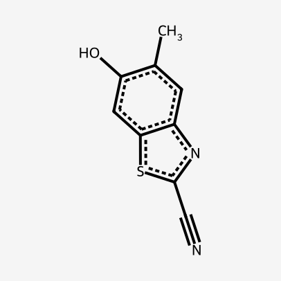 Cc1cc2nc(C#N)sc2cc1O